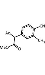 COC(=O)C(C(C)=O)c1ccc(C#N)c(C)c1